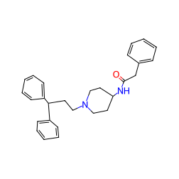 O=C(Cc1ccccc1)NC1CCN(CCC(c2ccccc2)c2ccccc2)CC1